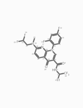 CCC(NC(=O)c1cn(-c2ccc(F)cc2F)c2nc(N(C)CC(F)F)ccc2c1=O)C(F)(F)F